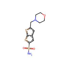 NS(=O)(=O)c1cc2cc(CN3CCOCC3)sc2s1